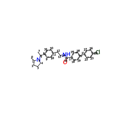 CC1CCCN1C(C)c1ccc(CCNC(=O)c2ccc(-c3ccc(Cl)cc3)cc2)cc1